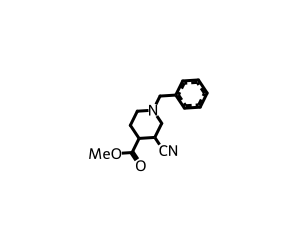 COC(=O)C1CCN(Cc2ccccc2)CC1C#N